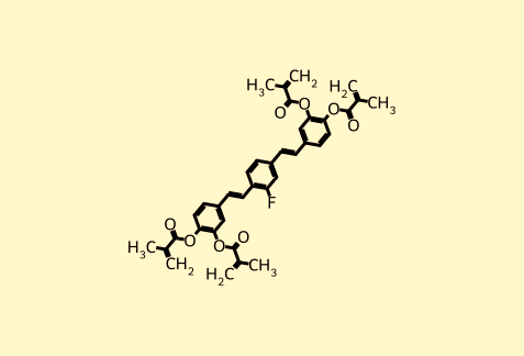 C=C(C)C(=O)Oc1ccc(/C=C/c2ccc(/C=C/c3ccc(OC(=O)C(=C)C)c(OC(=O)C(=C)C)c3)c(F)c2)cc1OC(=O)C(=C)C